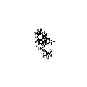 CC1=CC23C(=O)[C@@H](C=C(CO)[C@@H](O)[C@]2(O)[C@H]1OC(=O)N(C)Cc1c(C)noc1C)[C@H]1[C@@H](CC3C)C1(C)C